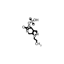 CCCn1ncc2c1CN1CC2N(OS(=O)(=O)O)C1=O